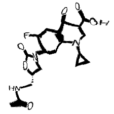 CC(=O)NC[C@H]1CN(c2cc3c(cc2F)c(=O)c(C(=O)O)cn3C2CC2)C(=O)O1